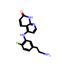 NCCc1ccc(F)c(Nc2ccnc3[nH]c(=O)ccc23)c1